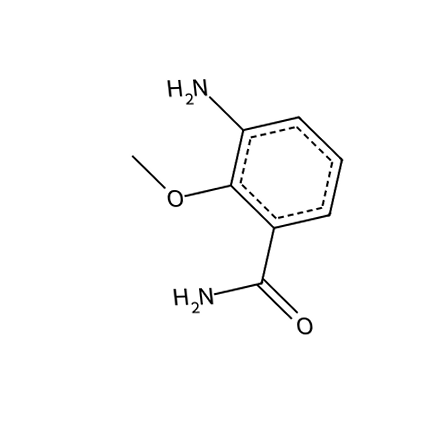 COc1c(N)cccc1C(N)=O